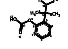 CC(C)(c1cccnc1OC(=O)O)C(F)F